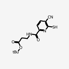 CC(C)(C)OC(=O)CCNC(=O)c1ccc(C#N)c(S)n1